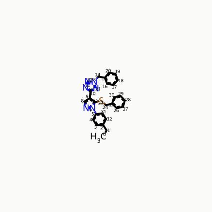 CCc1ccc(-n2ncc(-c3nnn(Cc4ccccc4)n3)c2SCc2ccccc2)cc1